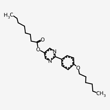 CCCCCCCC(=O)Oc1cnc(-c2ccc(OCCCCCC)cc2)nc1